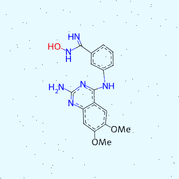 COc1cc2nc(N)nc(Nc3cccc(C(=N)NO)c3)c2cc1OC